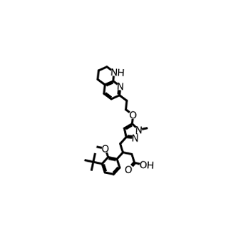 COc1c(C(CC(=O)O)Cc2cc(OCCc3ccc4c(n3)NCCC4)n(C)n2)cccc1C(C)(C)C